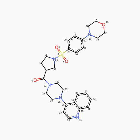 O=C(C1CCN(S(=O)(=O)c2ccc(N3CCOCC3)cc2)C1)N1CCN(c2ccnc3ccccc23)CC1